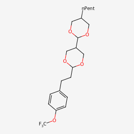 CCCCCC1COC(C2COC(CCc3ccc(OC(F)(F)F)cc3)OC2)OC1